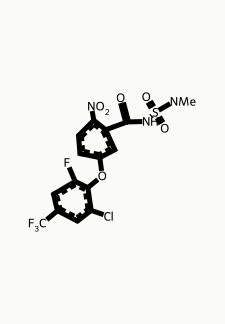 CNS(=O)(=O)NC(=O)c1cc(Oc2c(F)cc(C(F)(F)F)cc2Cl)ccc1[N+](=O)[O-]